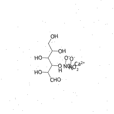 O=CC(O)C(O)C(O)C(O)CO.O=[N+]([O-])[O-].O=[N+]([O-])[O-].[Ca+2]